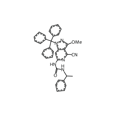 COc1nn(C(c2ccccc2)(c2ccccc2)c2ccccc2)c2cc(NC(=O)NC(C)c3ccccc3)nc(C#N)c12